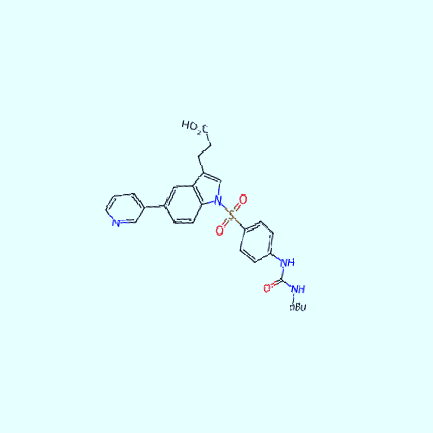 CCCCNC(=O)Nc1ccc(S(=O)(=O)n2cc(CCC(=O)O)c3cc(-c4cccnc4)ccc32)cc1